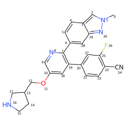 Cn1cc2ccc(-c3ncc(OCC4CCNC4)cc3-c3ccc(C#N)c(F)c3)cc2n1